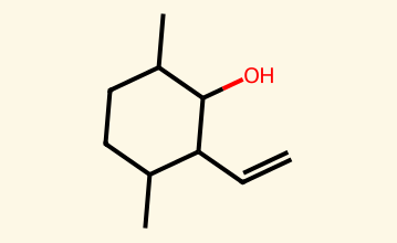 C=CC1C(C)CCC(C)C1O